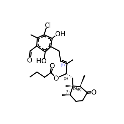 CCCC(=O)O[C@@H](C[C@@]1(C)[C@H](C)CCC(=O)[C@@H]1C)/C(C)=C/Cc1c(O)c(Cl)c(C)c(C=O)c1O